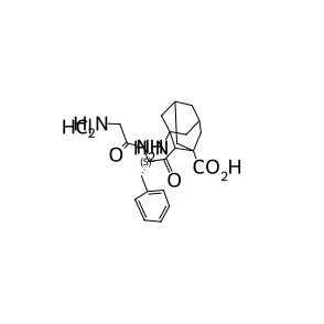 Cl.NCC(=O)N[C@@H](Cc1ccccc1)C(=O)C1C2(N)CC3CC(C2)CC1(C(=O)O)C3